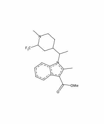 COC(=O)c1c(C)n(C(C)C2CCN(C)C(C(F)(F)F)C2)c2ccccc12